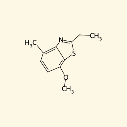 CCc1nc2c(C)ccc(OC)c2s1